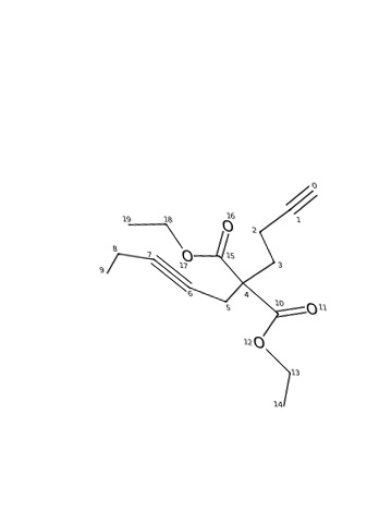 C#CCCC(CC#CCC)(C(=O)OCC)C(=O)OCC